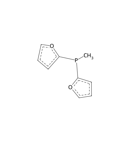 CP(c1ccco1)c1ccco1